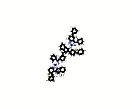 CC1(C)c2ccccc2-c2c1c1c3c(ccc1n2-c1nc(-c2cccc(CC4(C)c5ccccc5-c5c4c4ccc6c(c4n5-c4nc(-c5ccccc5)c5cc(-c7ccccc7)ccc5n4)SC4C=CC=CC64)c2)c2ccccc2n1)sc1ccccc13